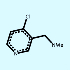 CN[CH]c1cnccc1Cl